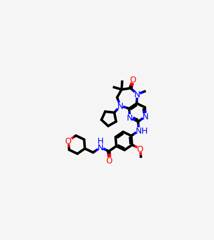 COc1cc(C(=O)NCC2CCOCC2)ccc1Nc1ncc2c(n1)N(C1CCCC1)CC(C)(C)C(=O)N2C